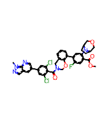 COC(=O)c1cc(F)c(-c2cccc3c2OCN(C(=O)c2c(Cl)cc(-c4cnc5c(cnn5C)c4)cc2Cl)C3)cc1N1C2CCC1COC2